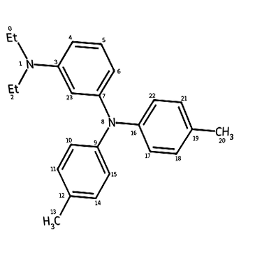 CCN(CC)c1cccc(N(c2ccc(C)cc2)c2ccc(C)cc2)c1